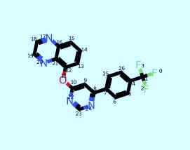 FC(F)(F)c1ccc(-c2cc(Oc3cccc4nccnc34)ncn2)cc1